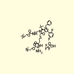 CC(C)(C)[C@H](c1cc(-c2cc(F)ccc2F)cn1Cc1ccccc1)N(CCCNC(=O)OCC[Si](C)(C)C)C(=O)CSCCC(=O)N[C@H](CN)C(=O)OCC[Si](C)(C)C.O=C(O)C(F)(F)F